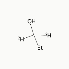 [2H]C([2H])(O)CC